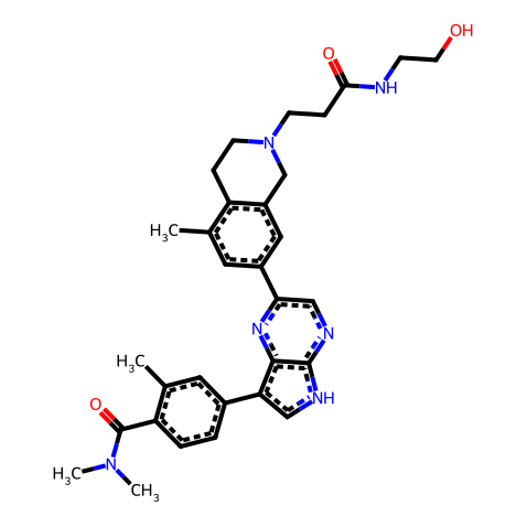 Cc1cc(-c2c[nH]c3ncc(-c4cc(C)c5c(c4)CN(CCC(=O)NCCO)CC5)nc23)ccc1C(=O)N(C)C